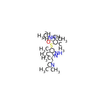 [2H]C([2H])(C)NC(=O)c1c(Sc2cc3[nH]nc(/C(C)=C/c4ccc(C)c(C)n4)c3c(C)c2C)cc(C)c(C)c1C